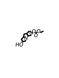 CCOC(=O)ON1CC2CC3CC(O)CN3C2C1